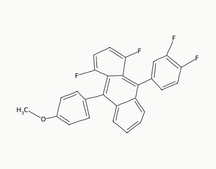 COc1ccc(-c2c3ccccc3c(-c3ccc(F)c(F)c3)c3c(F)ccc(F)c23)cc1